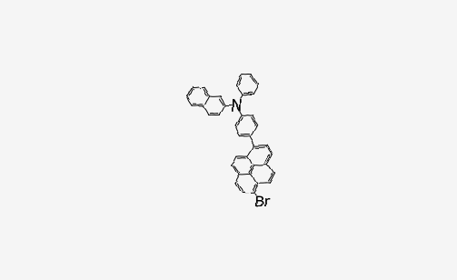 Brc1ccc2ccc3c(-c4ccc(N(c5ccccc5)c5ccc6ccccc6c5)cc4)ccc4ccc1c2c43